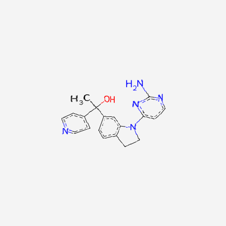 CC(O)(c1ccncc1)c1ccc2c(c1)N(c1ccnc(N)n1)CC2